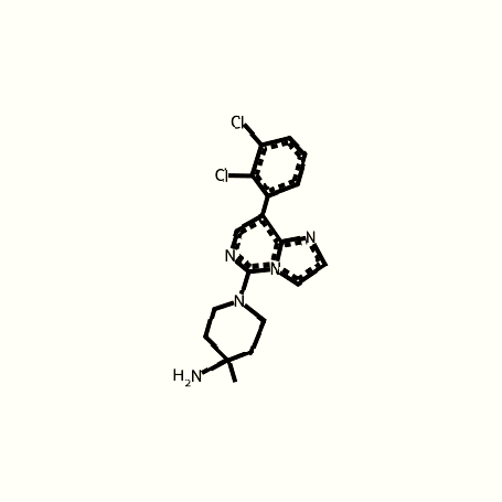 CC1(N)CCN(c2ncc(-c3cccc(Cl)c3Cl)c3nccn23)CC1